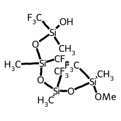 CO[Si](C)(O[Si](C)(O[Si](C)(O[Si](C)(O)C(F)(F)F)C(F)(F)F)C(F)(F)F)C(F)(F)F